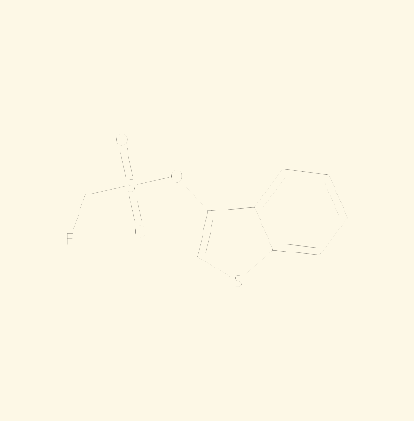 O=S(=O)(CF)Oc1csc2ccccc12